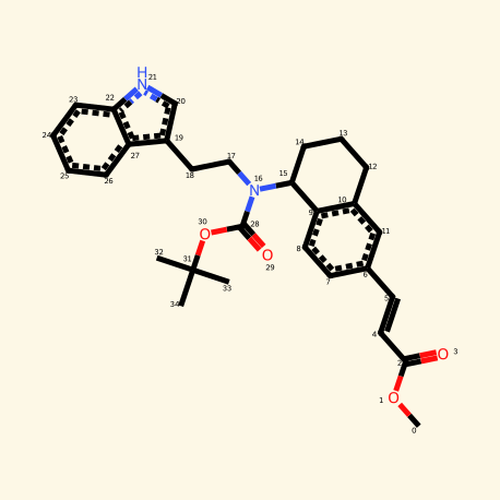 COC(=O)/C=C/c1ccc2c(c1)CCCC2N(CCc1c[nH]c2ccccc12)C(=O)OC(C)(C)C